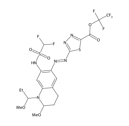 CCC(OC)N1c2cc(NS(=O)(=O)C(F)F)c(N=Nc3nnc(C(=O)OC(F)(F)C(F)(F)F)s3)cc2CCC1OC